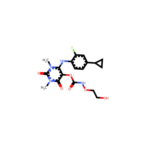 Cn1c(Nc2ccc(C3CC3)cc2F)c(OC(=O)NOCCO)c(=O)n(C)c1=O